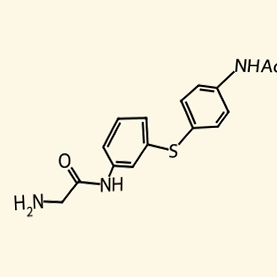 CC(=O)Nc1ccc(Sc2cccc(NC(=O)CN)c2)cc1